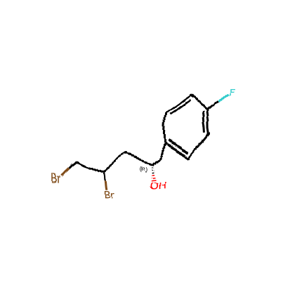 O[C@H](CC(Br)CBr)c1ccc(F)cc1